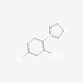 O=C(O)c1cc([N+](=O)[O-])ccc1-n1cccc1